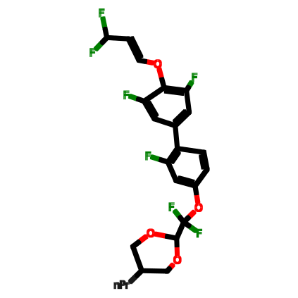 CCCC1COC(C(F)(F)Oc2ccc(-c3cc(F)c(O/C=C/C(F)F)c(F)c3)c(F)c2)OC1